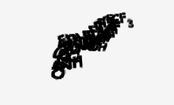 CC[C@H]1O[C@@H](n2ccc(=O)[nH]c2=O)C(OCCC(CO)NC(F)(F)C(F)(F)C(F)(F)C(F)(F)C(F)(F)C(F)(F)C(F)(F)C(F)(F)F)[C@H]1O